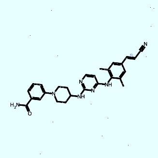 Cc1cc(/C=C/C#N)cc(C)c1Nc1ccnc(NC2CCN(c3cccc(C(N)=O)c3)CC2)n1